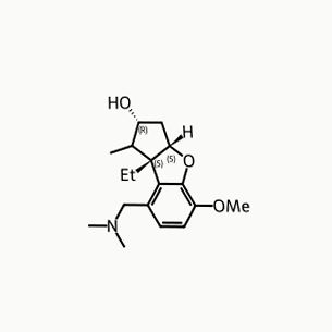 CC[C@]12c3c(CN(C)C)ccc(OC)c3O[C@H]1C[C@@H](O)C2C